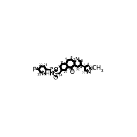 Cn1cc(-c2cnc3ccc4ccc(CS(=O)(=O)NCc5ccc(F)cn5)cc4c(=O)c3c2)cn1